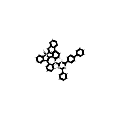 O=P1(c2ccc3ccccc3c2)C2=C(c3ccccc3N(c3nc(-c4ccccc4)nc(-c4ccc(-c5ccccc5)cc4)n3)c3ccccc32)c2ccccc21